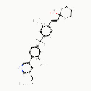 CCC(CC)(c1ccc(C=CC2(O)CCCCC2)c(C)c1)c1ccc(-c2cncc(CC(=O)O)c2)c(C)c1